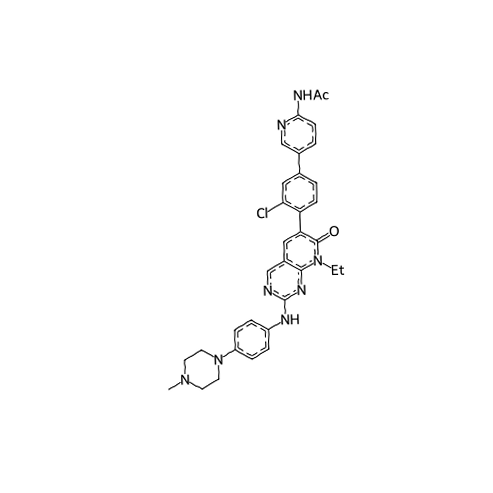 CCn1c(=O)c(-c2ccc(-c3ccc(NC(C)=O)nc3)cc2Cl)cc2cnc(Nc3ccc(N4CCN(C)CC4)cc3)nc21